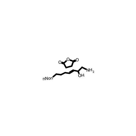 CCCCCCCCCCCCC=CC(O)CN.O=C1CCC(=O)O1